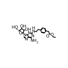 CCOC(=O)Cc1ccc(CCNc2nc(N)c3ncn([C@@H]4O[C@H](CO)C(O)C4O)c3n2)cc1